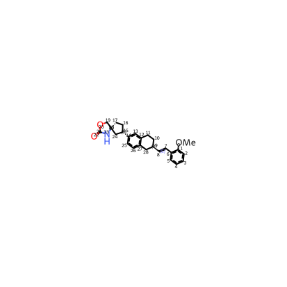 COc1ccccc1/C=C/[C@@H]1CCc2cc([C@H]3CC[C@]4(COC(=O)N4)C3)ccc2C1